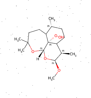 CO[C@H]1O[C@@H]2OC(C)(C)CCC3[C@H](C)CCC([C@H]1C)[C@]32OO